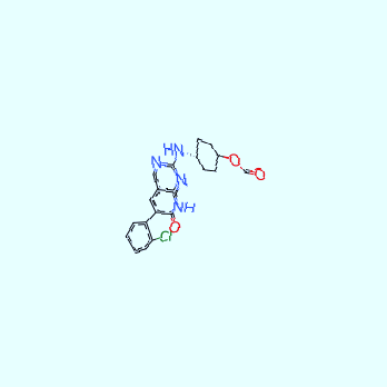 O=CO[C@H]1CC[C@H](Nc2ncc3cc(-c4ccccc4Cl)c(=O)[nH]c3n2)CC1